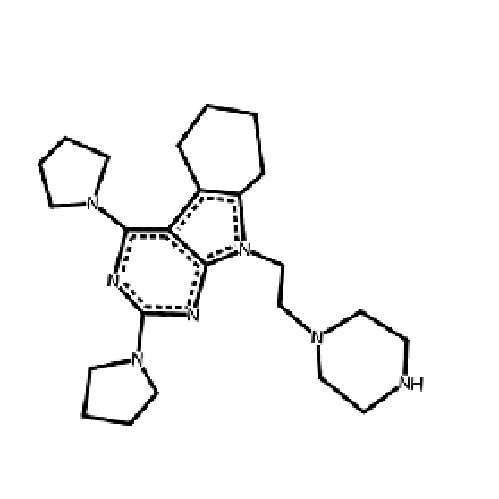 C1CCc2c(c3c(N4CCCC4)nc(N4CCCC4)nc3n2CCN2CCNCC2)C1